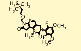 COc1cc(OC)c(F)c(N2Cc3cnc4c(c3N(C)C2=O)CC(=O)N4COCCS(C)(C)C)c1F